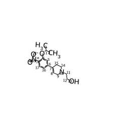 CC(C)Oc1cc(C2=CCN(CCO)CC2)ccc1[N+](=O)[O-]